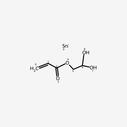 C=CC(=O)OCC(O)O.[Sn]